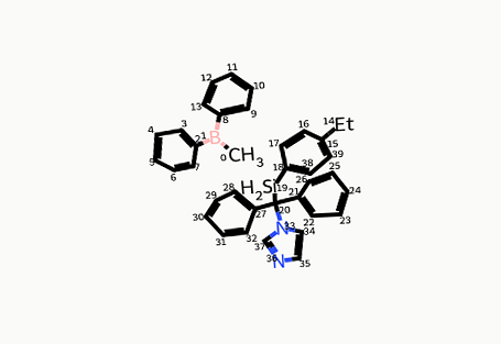 CB(c1ccccc1)c1ccccc1.CCc1ccc([SiH2]C(c2ccccc2)(c2ccccc2)n2ccnc2)cc1